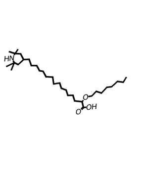 CCCCCCCCOC(CCCCCCCCCCCCCCC1CC(C)(C)NC(C)(C)C1)C(=O)O